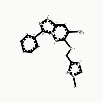 Cn1cnc(COc2nn3c(-c4ccccc4)nnc3cc2N)n1